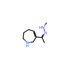 CN/N=C(/C)C1=CCCCNC1